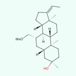 C/C=C1/CC[C@H]2[C@@H]3[C@@H](COC)C[C@H]4C[C@](C)(O)CC[C@]4(C)[C@H]3CC[C@]12C